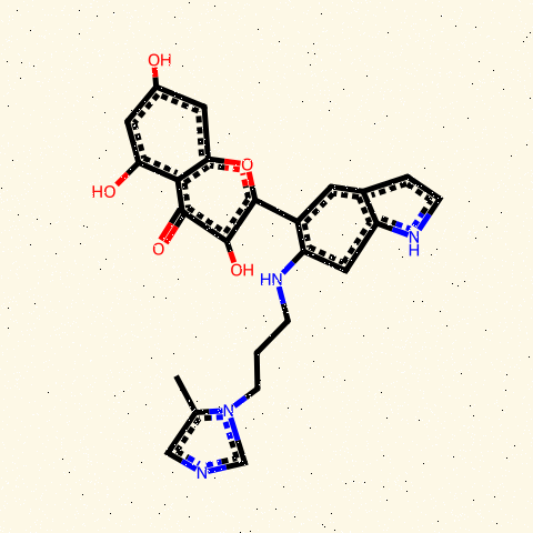 Cc1cncn1CCCNc1cc2[nH]ccc2cc1-c1oc2cc(O)cc(O)c2c(=O)c1O